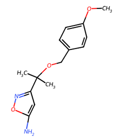 COc1ccc(COC(C)(C)c2cc(N)on2)cc1